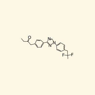 CCC(=O)Cc1ccc(-c2ncn(-c3ccc(CC(C)(F)F)cc3)n2)cc1